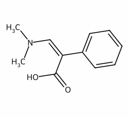 CN(C)C=C(C(=O)O)c1ccccc1